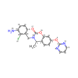 CC1c2ccc(Oc3ncccn3)cc2OC(=O)N1Cc1cccc(N)c1F